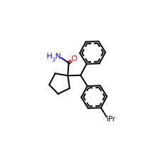 CC(C)c1ccc(C(c2ccccc2)C2(C(N)=O)CCCC2)cc1